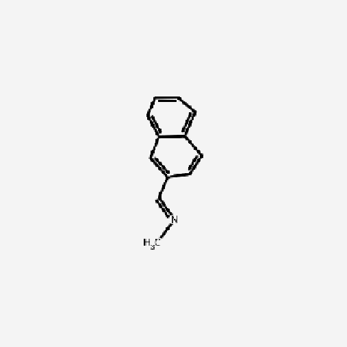 C/N=C/c1ccc2ccccc2c1